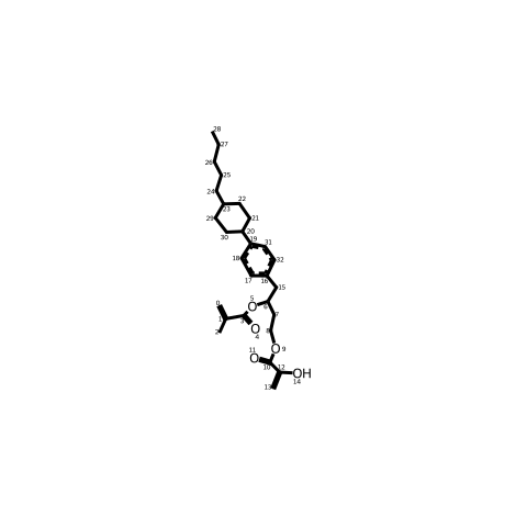 C=C(C)C(=O)OC(CCOC(=O)C(=C)O)Cc1ccc(C2CCC(CCCCC)CC2)cc1